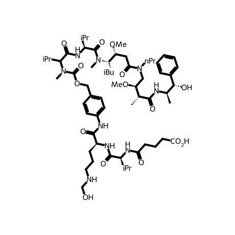 CCCN(C[C@H](OC)[C@@H](C)C(=O)N[C@H](C)[C@@H](O)c1ccccc1)C(=O)C[C@@H](OC)[C@H]([C@@H](C)CC)N(C)C(=O)[C@@H](NC(=O)C(C(C)C)N(C)C(=O)OCc1ccc(NC(=O)[C@H](CCCNCO)NC(=O)[C@@H](NC(=O)CCCC(=O)O)C(C)C)cc1)C(C)C